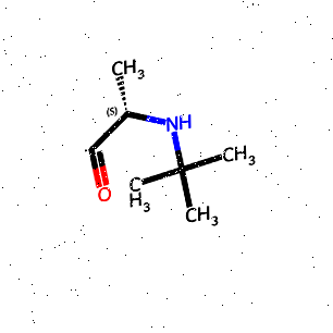 C[C@@H]([C]=O)NC(C)(C)C